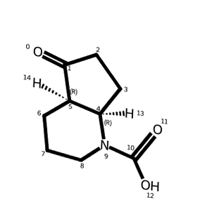 O=C1CC[C@@H]2[C@H]1CCCN2C(=O)O